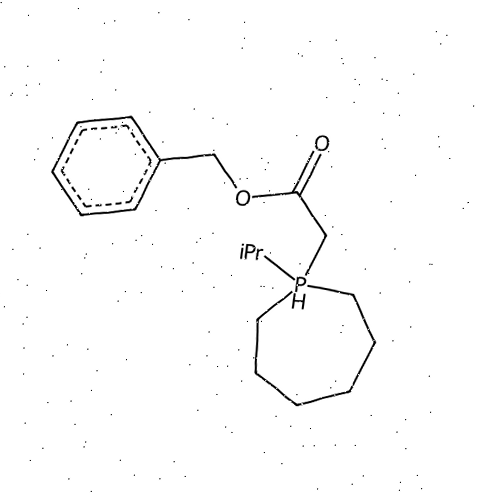 CC(C)[PH]1(CC(=O)OCc2ccccc2)CCCCCC1